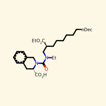 CCCCCCCCCCCCCCCC[C@@H](CN(CC)C(=O)N1Cc2ccccc2C[C@H]1C(=O)O)C(=O)OCC